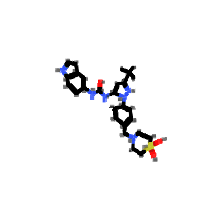 CC(C)(C)c1cc(NC(=O)Nc2ccc3c(c2)CC=N3)n(-c2ccc(CN3CCS(=O)(=O)CC3)cc2)n1